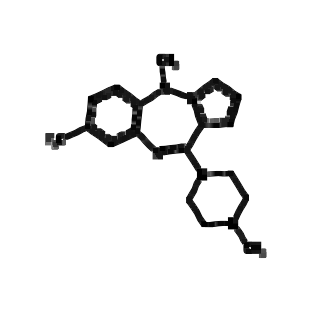 CN1CCN(C2=Nc3cc(C(F)(F)F)ccc3N(C)n3cccc32)CC1